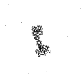 N#Cc1ccc2sc3cccc(-c4nc(-c5ccccc5)nc(-c5ccc(-c6ccc(-c7cccc8c7-c7ccccc7C87c8ccccc8-c8ccccc87)cc6)cc5)n4)c3c2c1